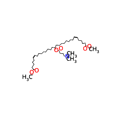 CCOC(=O)CCCC/C=C\CCCCCCCCC(CCCCCCCC/C=C\CCCCC(=O)OC)OC(=O)CCCN(C)C